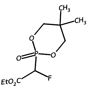 CCOC(=O)C(F)P1(=O)OCC(C)(C)CO1